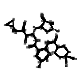 C[C@@H]1C[C@@H](C[C@H](NC(=O)c2cc(Cl)cnc2NC(=O)C2CCC(F)(F)CC2)C(=O)C(=O)NC2CC2)C(=O)N1